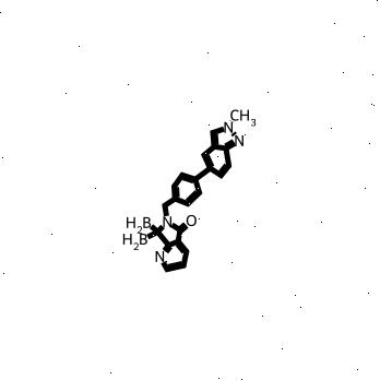 BC1(B)c2ncccc2C(=O)N1Cc1ccc(-c2ccc3nn(C)cc3c2)cc1